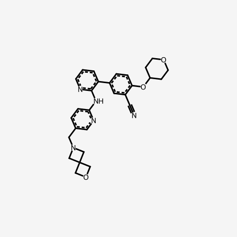 N#Cc1cc(-c2cccnc2Nc2ccc(CN3CC4(COC4)C3)cn2)ccc1OC1CCOCC1